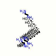 CC(=O)O.CC(=O)O.CC(=O)O.CC(=O)O.CC(=O)O.CC(=O)O.CC(=O)O.CC(=O)O.CC(=O)O.CC(=O)O.CC(=O)O.CC(=O)O.NCCN.NCCN.NCCN.[Na].[Na].[Na]